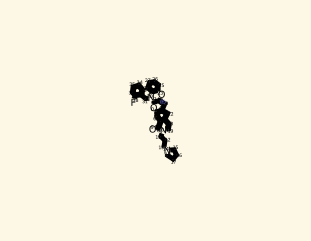 O=C1/C(=C\c2ccc3c(=O)n(CCCN4CCCC4)ccc3c2)Oc2ccccc2N1Cc1ccccc1F